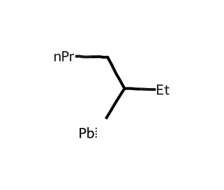 CCCCC(C)CC.[Pb]